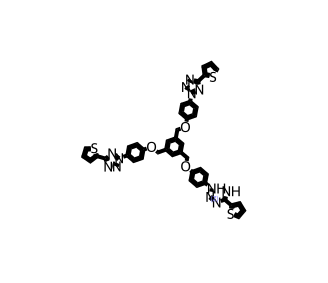 N=C(/N=N\Nc1ccc(OCc2cc(COc3ccc(-n4nnc(-c5cccs5)n4)cc3)cc(COc3ccc(-n4nnc(-c5cccs5)n4)cc3)c2)cc1)c1cccs1